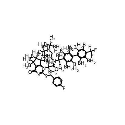 Bc1c(B)c(C(F)(F)F)c(B)c(B)c1-c1c(B)c(B)c(C(B)(B)N(CCN(C(B)(B)C)C(B)(B)C)C(=O)C(B)(B)n2c(SCc3ccc(F)cc3)nc(=O)c3c2C(B)(B)C(B)(B)C3(B)B)c(B)c1B